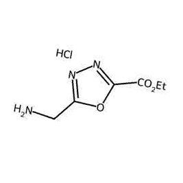 CCOC(=O)c1nnc(CN)o1.Cl